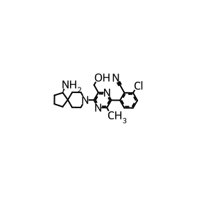 Cc1nc(N2CCC3(CCC[C@H]3N)CC2)c(CO)nc1-c1cccc(Cl)c1C#N